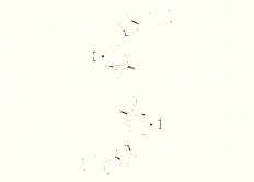 CN(C)CC(O)c1nnc([C@@H]2CC3(CC3)[C@@H]3CN2C(=O)N3OS(=O)(=O)ON2C(=O)N3C[C@H]2C2(CC2)C[C@H]3c2nnc(C(O)CN(C)C)o2)o1